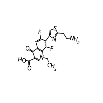 CCn1cc(C(=O)O)c(=O)c2cc(F)c(-c3csc(CCN)n3)c(F)c21